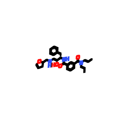 CCCN(CCC)C(=O)c1cccc(C(=O)N[C@@H](Cc2ccccc2)[C@H](O)CNCC2CCCO2)c1